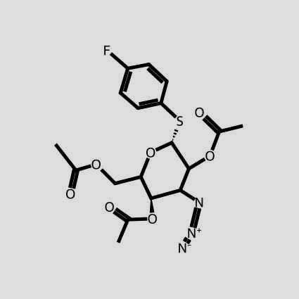 CC(=O)OCC1O[C@H](Sc2ccc(F)cc2)C(OC(C)=O)C(N=[N+]=[N-])[C@H]1OC(C)=O